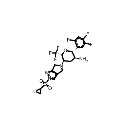 N[C@H]1C[C@@H](N2Cc3cn(S(=O)(=O)C4CO4)nc3C2)[C@H](C(F)(F)F)O[C@@H]1c1cc(F)c(F)cc1F